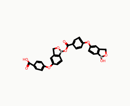 O=C(O)c1ccc(Oc2ccc3c(c2)COB3OC(=O)c2ccc(Oc3ccc4c(c3)COB4O)cc2)cc1